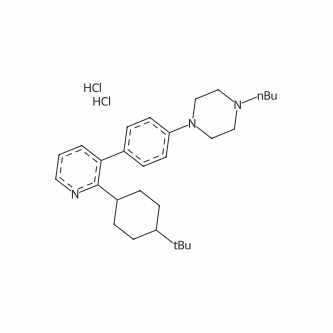 CCCCN1CCN(c2ccc(-c3cccnc3C3CCC(C(C)(C)C)CC3)cc2)CC1.Cl.Cl